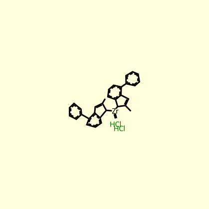 Cl.Cl.[CH2]=[Zr]([CH]1C(C)=Cc2c(-c3ccccc3)cccc21)[CH]1C(C)=Cc2c(-c3ccccc3)cccc21